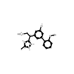 CCOc1ccccc1-c1cc(Cl)cc(C(CC(=O)O)c2nnc(C)o2)c1